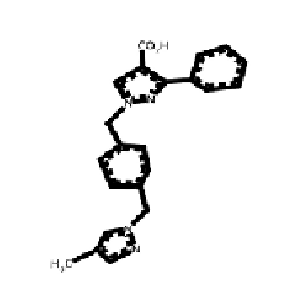 Cc1cnn(Cc2ccc(Cn3cc(C(=O)O)c(-c4ccccc4)n3)cc2)c1